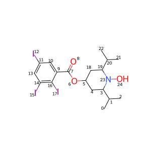 CC(C)C1CC(OC(=O)c2cc(I)cc(I)c2I)CC(C(C)C)N1O